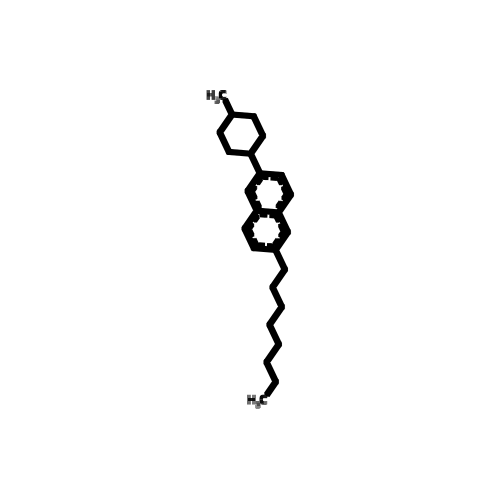 CCCCCCCCc1ccc2cc(C3CCC(C)CC3)ccc2c1